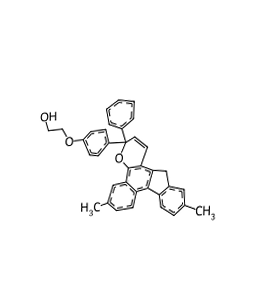 Cc1ccc2c(c1)Cc1c3c(c4cc(C)ccc4c1-2)OC(c1ccccc1)(c1ccc(OCCO)cc1)C=C3